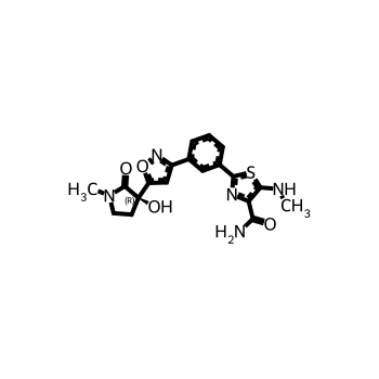 CNc1sc(-c2cccc(-c3cc([C@]4(O)CCN(C)C4=O)on3)c2)nc1C(N)=O